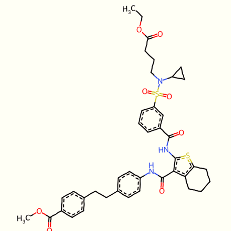 CCOC(=O)CCCN(C1CC1)S(=O)(=O)c1cccc(C(=O)Nc2sc3c(c2C(=O)Nc2ccc(CCc4ccc(C(=O)OC)cc4)cc2)CCCC3)c1